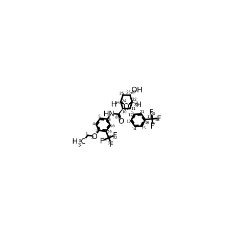 CCOc1ccc(NC(=O)[C@@H]2[C@@H](c3cccc(C(F)(F)F)c3)[C@H]3O[C@@H]2C[C@@H]3O)cc1C(F)(F)F